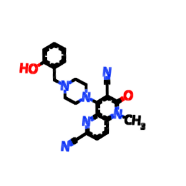 Cn1c(=O)c(C#N)c(N2CCN(Cc3ccccc3O)CC2)c2nc(C#N)ccc21